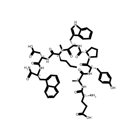 CCCC[C@@H](C(=O)N[C@@H](CC(=O)O)C(=O)N[C@@H](Cc1cccc2ccccc12)C(N)=O)N(C)C(=O)[C@H](Cc1c[nH]c2ccccc12)NC(=O)[C@@H]1CCCN1C(=O)[C@H](Cc1ccc(O)cc1)NC(=O)[C@H](C)NC(=O)[C@H](N)CCC(=O)O